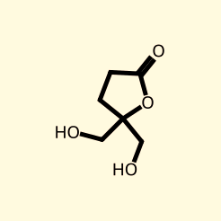 O=C1CCC(CO)(CO)O1